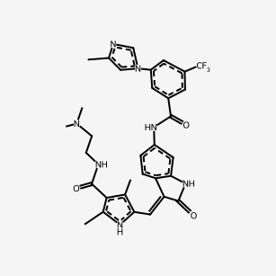 Cc1cn(-c2cc(C(=O)Nc3ccc4c(c3)NC(=O)C4=Cc3[nH]c(C)c(C(=O)NCCN(C)C)c3C)cc(C(F)(F)F)c2)cn1